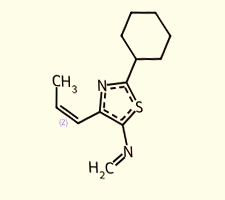 C=Nc1sc(C2CCCCC2)nc1/C=C\C